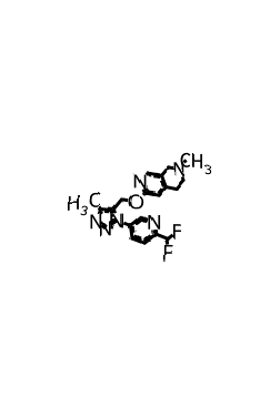 Cc1nnn(-c2ccc(C(F)F)nc2)c1COc1cc2c(cn1)CN(C)CC2